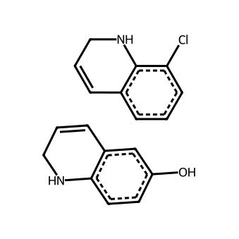 Clc1cccc2c1NCC=C2.Oc1ccc2c(c1)C=CCN2